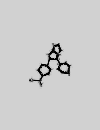 C[S+]([O-])c1ccc(-c2nc3occn3c2-c2ccncc2)cc1